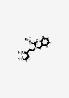 C=C(/C=C\CCC)CCN(Cc1ccccc1)C(=O)OC(C)(C)C